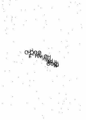 O=C(COc1ccc(Cl)c(F)c1)NCC[C@H](O)CNC(=O)COc1ccon1